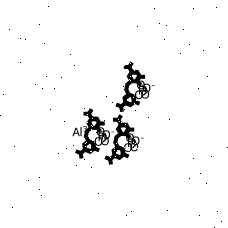 Cc1cc(C(C)C)cc2c1OP(=O)([O-])Oc1c(C)cc(C(C)C)cc1CC2.Cc1cc(C(C)C)cc2c1OP(=O)([O-])Oc1c(C)cc(C(C)C)cc1CC2.Cc1cc(C(C)C)cc2c1OP(=O)([O-])Oc1c(C)cc(C(C)C)cc1CC2.[Al+3]